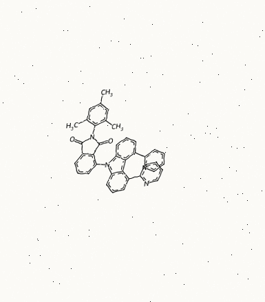 Cc1cc(C)c(N2C(=O)c3cccc(-n4c5cccc(-c6ccccn6)c5c5c(-c6ccccn6)cccc54)c3C2=O)c(C)c1